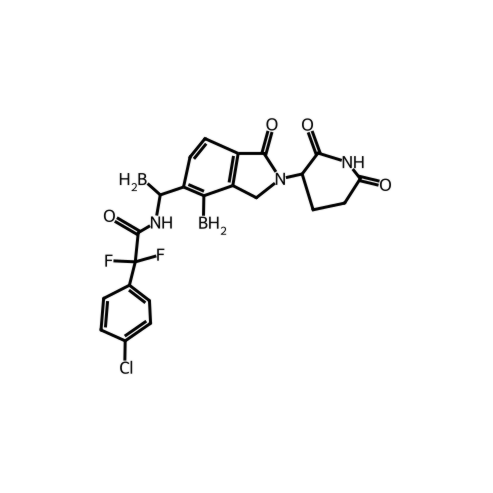 Bc1c(C(B)NC(=O)C(F)(F)c2ccc(Cl)cc2)ccc2c1CN(C1CCC(=O)NC1=O)C2=O